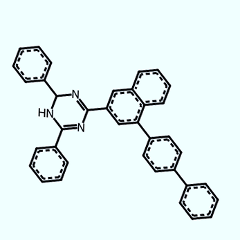 c1ccc(C2=NC(c3cc(-c4ccc(-c5ccccc5)cc4)c4ccccc4c3)=NC(c3ccccc3)N2)cc1